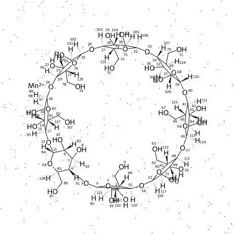 OC[C@H]1O[C@@H]2O[C@H]3[C@H](O)[C@@H](O)[C@@H](O[C@H]4[C@H](O)[C@@H](O)[C@@H](O[C@H]5[C@H](O)[C@@H](O)[C@@H](O[C@H]6[C@H](O)[C@@H](O)[C@@H](O[C@H]7[C@H](O)[C@@H](O)[C@@H](O[C@H]8[C@H](O)[C@@H](O)[C@@H](O[C@H]9[C@H](O)[C@@H](O)[C@@H](O[C@H]1[C@H](O)[C@H]2O)O[C@@H]9CO)O[C@@H]8CO)O[C@@H]7CO)O[C@@H]6CO)O[C@@H]5CO)O[C@@H]4CO)O[C@@H]3CO.[Mn+2]